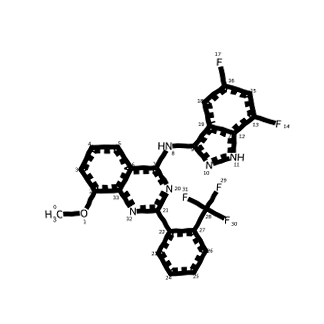 COc1cccc2c(Nc3n[nH]c4c(F)cc(F)cc34)nc(-c3ccccc3C(F)(F)F)nc12